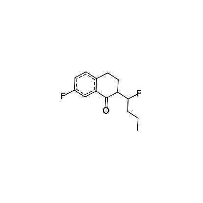 CCCC(F)C1CCc2ccc(F)cc2C1=O